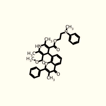 COC(=O)C1=C(C)NC(C)=C(C(=O)OCCN(C)c2ccccc2)C1c1cccc2c(=O)c(C)c(-c3ccccc3)oc12